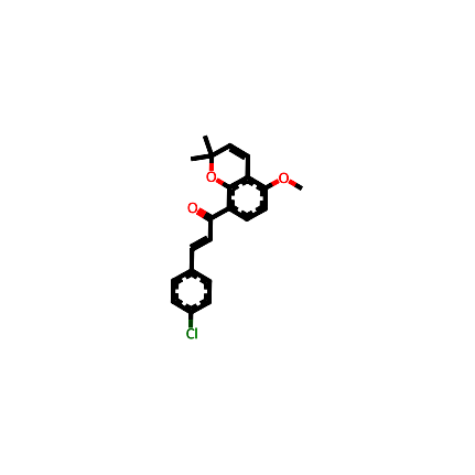 COc1ccc(C(=O)C=Cc2ccc(Cl)cc2)c2c1C=CC(C)(C)O2